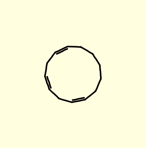 [CH]1C=CCC=CCC=CCCCC1